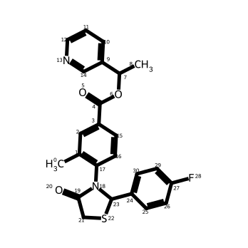 Cc1cc(C(=O)OC(C)c2cccnc2)ccc1N1C(=O)CSC1c1ccc(F)cc1